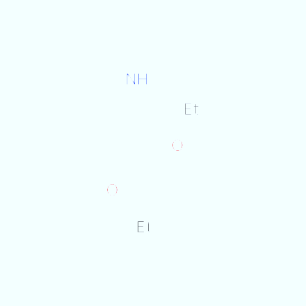 CCOC(C=N)OCC